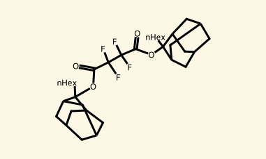 CCCCCCC1(OC(=O)C(F)(F)C(F)(F)C(=O)OC2(CCCCCC)C3CC4CC(C3)CC2C4)C2CC3CC(C2)CC1C3